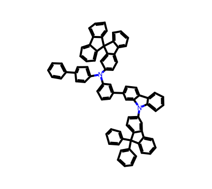 c1ccc(-c2ccc(N(c3cccc(-c4ccc5c6ccccc6n(-c6ccc7c(c6)-c6ccccc6C7(c6ccccc6)c6ccccc6)c5c4)c3)c3ccc4c(c3)C3(c5ccccc5-c5ccccc53)c3ccccc3-4)cc2)cc1